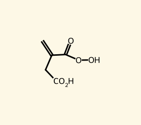 C=C(CC(=O)O)C(=O)OO